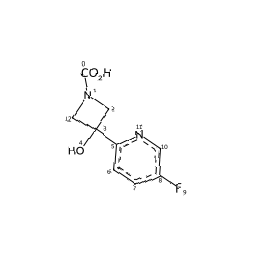 O=C(O)N1CC(O)(c2ccc(F)cn2)C1